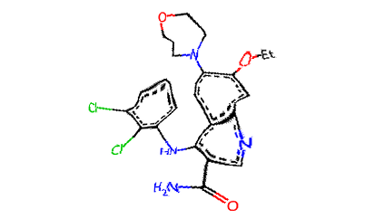 CCOc1cc2ncc(C(N)=O)c(Nc3cccc(Cl)c3Cl)c2cc1N1CCOCC1